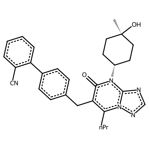 CCCc1c(Cc2ccc(-c3ccccc3C#N)cc2)c(=O)n([C@H]2CC[C@](C)(O)CC2)c2ncnn12